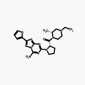 C[C@@H]1CN(CC(F)(F)F)CCN1C(=O)[C@@H]1CCCN1c1nc(N)n2nc(-c3ccco3)nc2n1